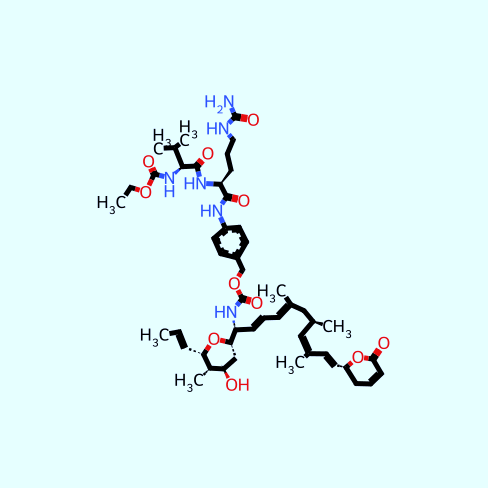 C/C=C/[C@@H]1O[C@H]([C@@H](/C=C/C=C(\C)C[C@@H](C)/C=C(C)\C=C\[C@H]2CC=CC(=O)O2)NC(=O)OCc2ccc(NC(=O)[C@H](CCCNC(N)=O)NC(=O)[C@@H](NC(=O)OCC)C(C)C)cc2)C[C@@H](O)[C@@H]1C